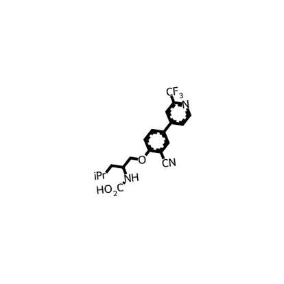 CC(C)CC(COc1ccc(-c2ccnc(C(F)(F)F)c2)cc1C#N)NC(=O)O